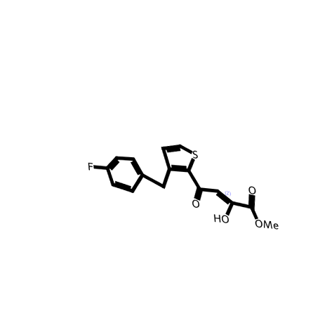 COC(=O)/C(O)=C/C(=O)c1sccc1Cc1ccc(F)cc1